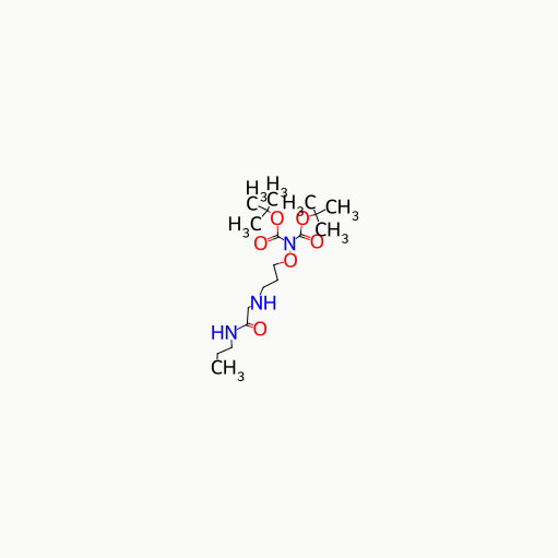 CCCNC(=O)CNCCCON(C(=O)OC(C)(C)C)C(=O)OC(C)(C)C